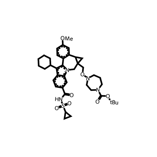 COc1ccc2c(c1)C1CC1(CON1CCCN(C(=O)OC(C)(C)C)CC1)Cn1c-2c(C2CCCCC2)c2ccc(C(=O)NS(=O)(=O)C3CC3)cc21